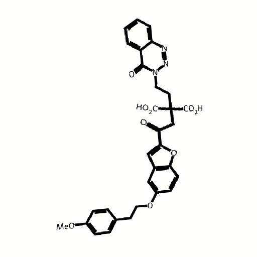 COc1ccc(CCOc2ccc3oc(C(=O)CC(CCn4nnc5ccccc5c4=O)(C(=O)O)C(=O)O)cc3c2)cc1